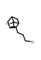 CC1(C)C2CC=C(CCCN)C1C2